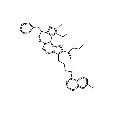 CCOC(=O)c1[nH]c2c(-c3c(C(O)Cc4ccccc4)nn(C)c3CC)c(Cl)ccc2c1CCCOc1cccc2cc(F)ccc12